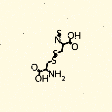 NC(CSSCC(N=S)C(=O)O)C(=O)O